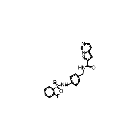 O=C(NCc1ccc(CNS(=O)(=O)c2ccccc2F)cc1)c1cc2ccncn2n1